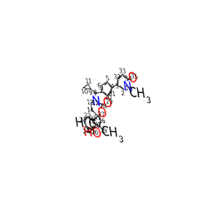 Cn1cc(-c2ccc(C(C3CC3)N3CCC(CC(C)(C)O)(c4ccccc4)OC3=O)cc2)ccc1=O